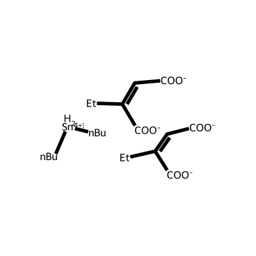 CC/C(=C/C(=O)[O-])C(=O)[O-].CC/C(=C/C(=O)[O-])C(=O)[O-].CCC[CH2][SnH2+4][CH2]CCC